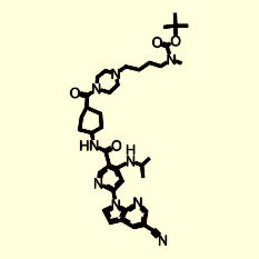 CC(C)Nc1cc(-n2ccc3cc(C#N)cnc32)ncc1C(=O)NC1CCC(C(=O)N2CCN(CCCCN(C)C(=O)OC(C)(C)C)CC2)CC1